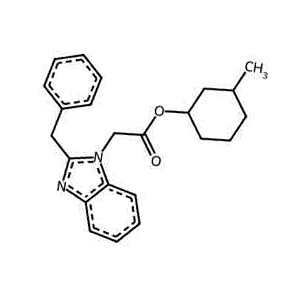 CC1CCCC(OC(=O)Cn2c(Cc3ccccc3)nc3ccccc32)C1